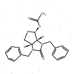 CC(=O)O[C@@H]1SC[C@@H]2[C@H]1N(Cc1ccccc1)C(=O)N2Cc1ccccc1